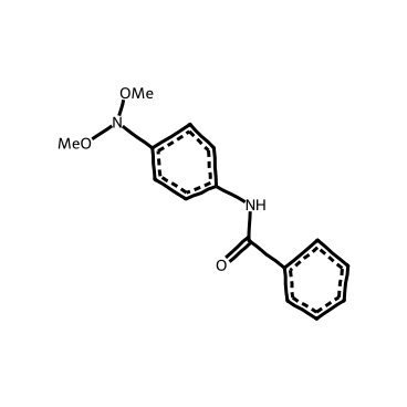 CON(OC)c1ccc(NC(=O)c2ccccc2)cc1